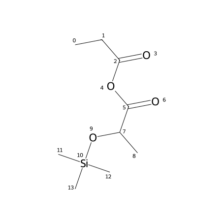 CCC(=O)OC(=O)C(C)O[Si](C)(C)C